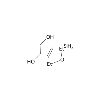 C=C.CCOCC.OCCO.[SiH4]